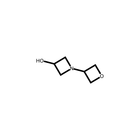 OC1CN(C2COC2)C1